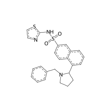 O=S(=O)(Nc1nccs1)c1ccc2c(C3CCCN3Cc3ccccc3)cccc2c1